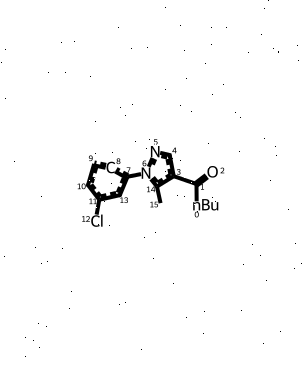 CCCCC(=O)c1cnn(-c2cccc(Cl)c2)c1C